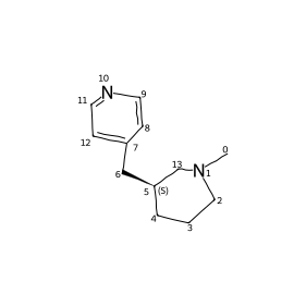 CN1CCC[C@@H](Cc2ccncc2)C1